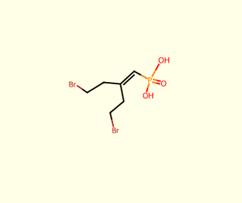 O=P(O)(O)C=C(CCBr)CCBr